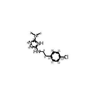 CN(C)c1nnc(NCCc2ccc(Cl)cc2)[nH]1